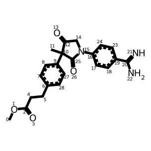 COC(=O)CCc1ccc(C2(C)C(=O)CN(c3ccc(C(=N)N)cc3)C2=O)cc1